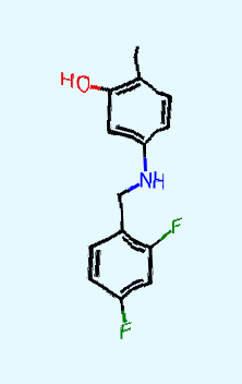 Cc1ccc(NCc2ccc(F)cc2F)cc1O